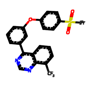 CC(C)S(=O)(=O)c1ccc(Oc2cccc(-c3ncnc4c(C(F)(F)F)cccc34)c2)cc1